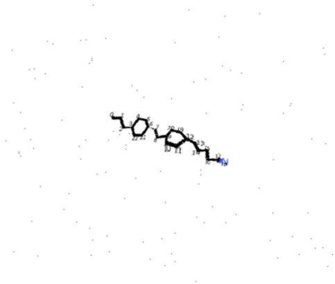 CCC[C@H]1CC[C@H](CCC2CCC(CCC=CC#N)CC2)CC1